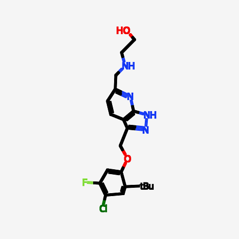 CC(C)(C)c1cc(Cl)c(F)cc1OCc1n[nH]c2nc(CNCCO)ccc12